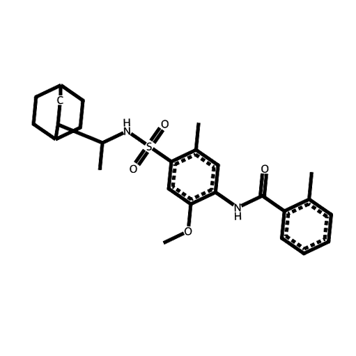 COc1cc(S(=O)(=O)NC(C)C2CC3CCC2CC3)c(C)cc1NC(=O)c1ccccc1C